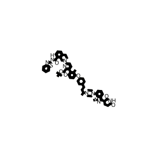 Cc1c(OC2CCC(CCC(C)N3CCN(c4cccc5c(C6CCC(=O)NC6=O)nn(C)c45)CC3)CC2)cccc1-c1ccc(N2CCc3cccc(C(=O)Nc4nc5ccccc5s4)c3C2)nc1C(=O)OC(C)(C)C